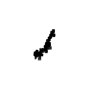 CCOC(=O)CCCCOc1ccc2[nH]c(C(=O)NCCc3c(C)[nH]c4c(F)ccc(C)c34)cc2c1